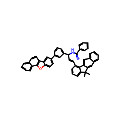 CC1(C)c2cc3ccccc3cc2-c2c(/C=C/C(NC(=N)c3ccccc3)c3cccc(-c4ccc5oc6c7ccccc7ccc6c5c4)c3)cccc21